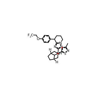 Cc1cc(N2C[C@H]3CC[C@@H](C2)C3Nc2nc3n(n2)CCCC3c2ccc(OCC(F)(F)F)cc2)sn1